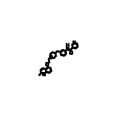 Cc1ccc2c(OCCN3CCC(Cc4cccc(NC(=O)c5cccnc5)c4)CC3)cccc2n1